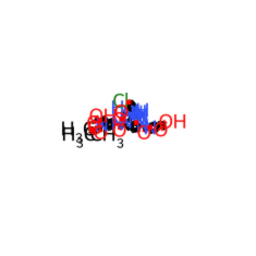 CC(C)(C)OC(=O)n1c(C(=O)O)cc2cc(NC(=O)[C@H](Cc3ccc(NC(=O)N4CCC5(CC4)CC(O)CO5)cc3)N3CCN(c4cc(Cl)ccc4-n4cnnn4)C(=O)C3=O)ccc21